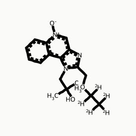 [2H]C([2H])([2H])C([2H])([2H])OCc1nc2c[n+]([O-])c3ccccc3c2n1CC(C)(C)O